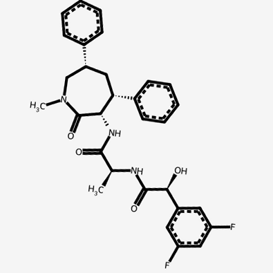 C[C@H](NC(=O)[C@@H](O)c1cc(F)cc(F)c1)C(=O)N[C@@H]1C(=O)N(C)C[C@H](c2ccccc2)C[C@@H]1c1ccccc1